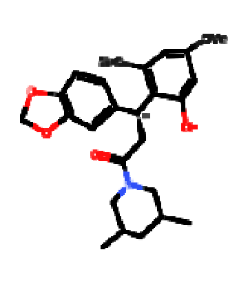 COc1cc(O)c([C@@H](CC(=O)N2CC(C)CC(C)C2)c2ccc3c(c2)OCO3)c(OC)c1